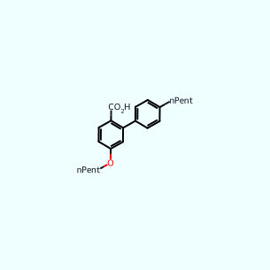 CCCCCOc1ccc(C(=O)O)c(-c2ccc(CCCCC)cc2)c1